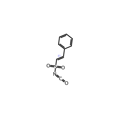 O=C=NS(=O)(=O)/C=C/c1ccccc1